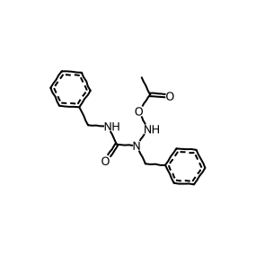 CC(=O)ONN(Cc1ccccc1)C(=O)NCc1ccccc1